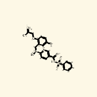 C=C(Cl)COc1ccc(Br)cc1CN(CC)c1ccc(C(=O)NS(=O)(=O)c2ccccc2)cn1